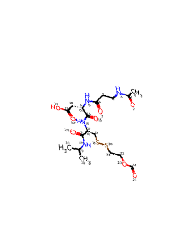 CC(=O)NCCC(=O)N[C@@H](CC(=O)O)C(=O)N[C@@H](CSSCCOC=O)C(=O)NC(C)C